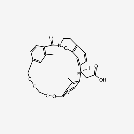 Cc1cc2ccc1C(=O)N1CCc3ccc(cc3C1)[C@@H](CC(=O)O)c1cnc(cc1C)OCCCCC2